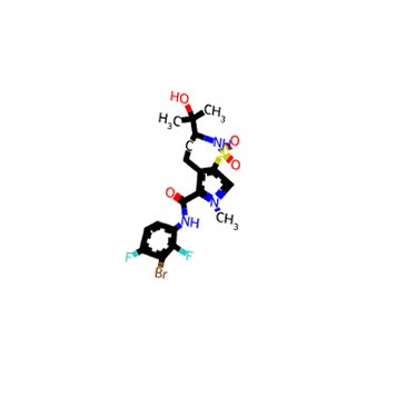 Cn1cc2c(c1C(=O)Nc1ccc(F)c(Br)c1F)CCC(C(C)(C)O)NS2(=O)=O